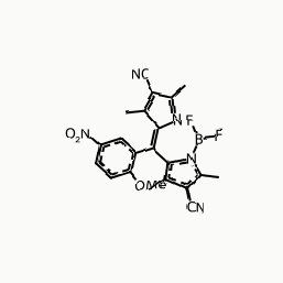 COc1ccc([N+](=O)[O-])cc1/C(=C1/N=C(C)C(C#N)=C1C)c1c(C)c(C#N)c(C)n1B(F)F